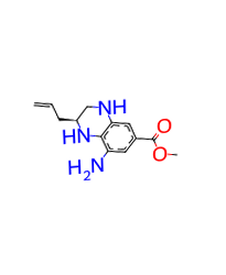 C=CC[C@H]1CNc2cc(C(=O)OC)cc(N)c2N1